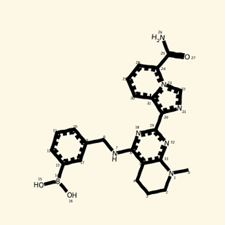 CN1CCCc2c(NCc3cccc(B(O)O)c3)nc(-c3ncn4c(C(N)=O)cccc34)nc21